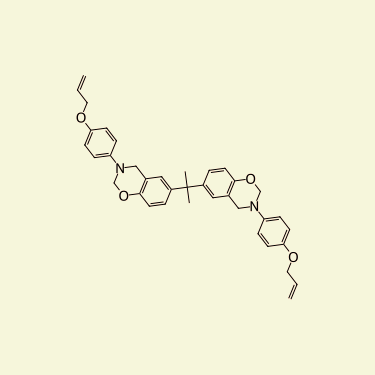 C=CCOc1ccc(N2COc3ccc(C(C)(C)c4ccc5c(c4)CN(c4ccc(OCC=C)cc4)CO5)cc3C2)cc1